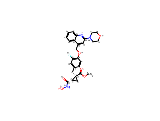 COC(=O)[C@@]1(Cc2ccc(OCc3cc(N4CCOCC4)nc4ccccc34)c(F)c2)C[C@@H]1C(=O)NO